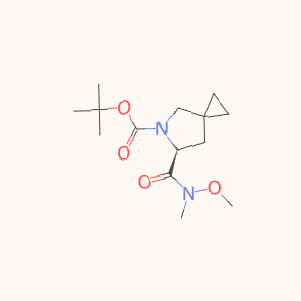 CON(C)C(=O)[C@@H]1CC2(CC2)CN1C(=O)OC(C)(C)C